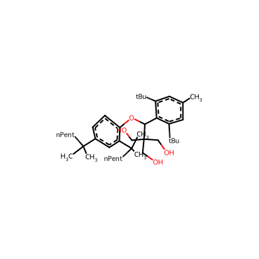 CCCCCC(C)(C)c1ccc(OC(c2c(C(C)(C)C)cc(C)cc2C(C)(C)C)C(CO)(CO)CO)c(C(C)(C)CCCCC)c1